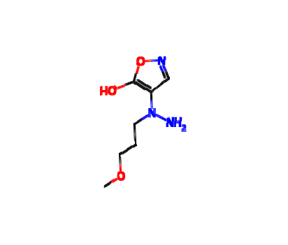 COCCCN(N)c1cnoc1O